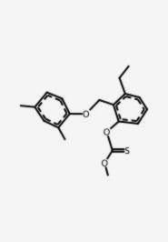 CCc1cccc(OC(=S)OC)c1COc1ccc(C)cc1C